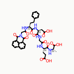 C[C@H](NC(=O)[C@H](CCC(=O)O)NC(=O)CNC(=O)[C@H](CC(=O)O)NC(=O)[C@H](CCc1ccccc1)NC(=O)CN1C(=O)c2cccc3cccc(c23)C1=O)C(=O)O